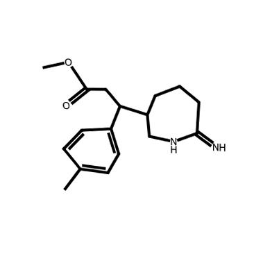 COC(=O)CC(c1ccc(C)cc1)C1CCCC(=N)NC1